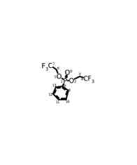 O=P(OCC(F)(F)F)(OCC(F)(F)F)c1ccccc1